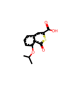 CC(C)Oc1cccc2cc(C(=O)O)sc(=O)c12